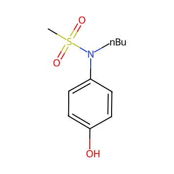 CCCCN(c1ccc(O)cc1)S(C)(=O)=O